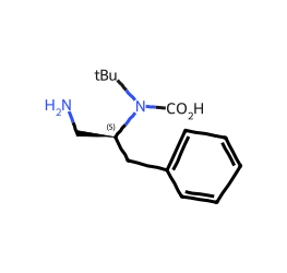 CC(C)(C)N(C(=O)O)[C@H](CN)Cc1ccccc1